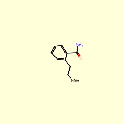 CNCCc1ccccc1C(N)=O